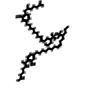 CCCC(CC/C=C\CCCCCCCc1ccc(C(C)NCCCNC)c(O)c1)[Si](C)(C)O[Si](C)(C)C(CCC)CC/C=C/CCCCCCCc1ccc(CN(C)CCCNC)c(O)c1